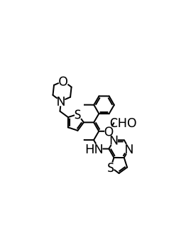 Cc1ccccc1/C(=C(\OC=O)C(C)Nc1ncnc2ccsc12)c1ccc(CN2CCOCC2)s1